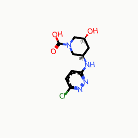 O=C(O)N1C[C@@H](O)C[C@@H](Nc2ccc(Cl)nn2)C1